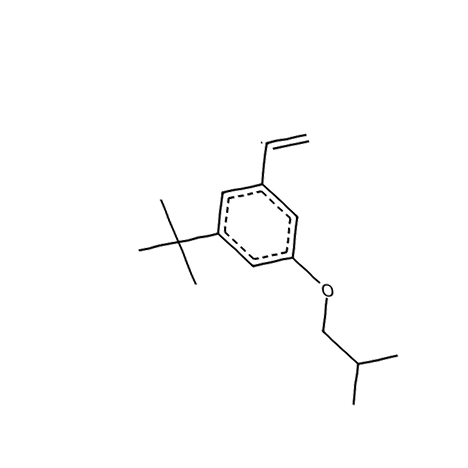 C=[C]c1cc(OCC(C)C)cc(C(C)(C)C)c1